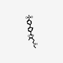 CCNCCc1nc(-c2ccc(-c3ccc(S(C)(=O)=O)cc3)cc2)oc1C